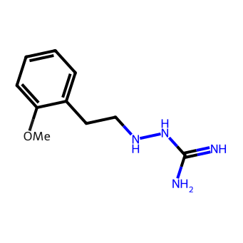 COc1ccccc1CCNNC(=N)N